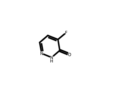 O=c1[nH]nccc1F